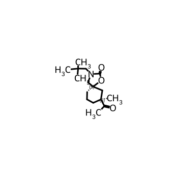 CC(=O)[C@@]1(C)CCC[C@@]2(CN(CC(C)(C)C)C(=O)O2)C1